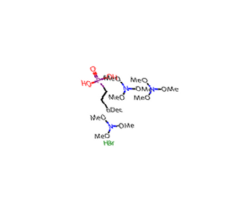 Br.CCCCCCCCCCCCP(=O)(O)O.CON(OC)OC.CON(OC)OC.CON(OC)OC